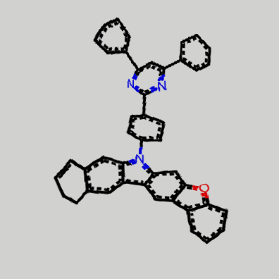 C1=Cc2cc3c(cc2CC1)c1cc2c(cc1n3-c1ccc(-c3nc(-c4ccccc4)cc(-c4ccccc4)n3)cc1)oc1ccccc12